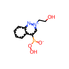 [O-]P(OO)c1c[n+](CCO)nc2ccccc12